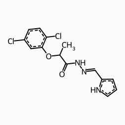 CC(Oc1cc(Cl)ccc1Cl)C(=O)N/N=C/c1ccc[nH]1